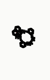 CC1(C)CC(C)(C)Sc2ccccc2CNC(c2ccccc2)C(c2ccccc2)NCc2ccccc2S1